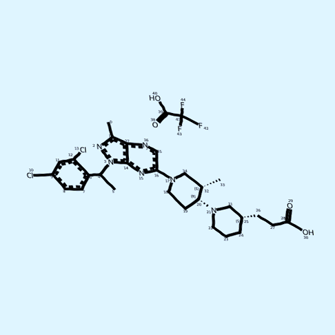 Cc1nn(C(C)c2ccc(Cl)cc2Cl)c2nc(N3CC[C@@H](N4CCC[C@@H](CCC(=O)O)C4)[C@@H](C)C3)cnc12.O=C(O)C(F)(F)F